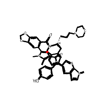 Cc1c(C(=O)N(c2ccc(O)cc2)c2cnc3c(ccn3C)c2)cc(-c2cc3c(cc2C(=O)N2Cc4ccccc4C[C@H]2CCCN2CCOCC2)OCO3)n1C